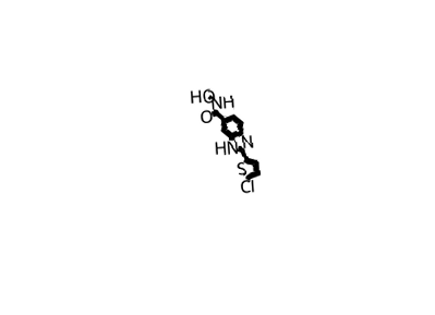 O=C(NO)c1ccc2nc(-c3ccc(Cl)s3)[nH]c2c1